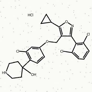 Cl.OC1(c2ccc(OCc3c(-c4c(Cl)cccc4Cl)noc3C3CC3)cc2Cl)CCNCC1